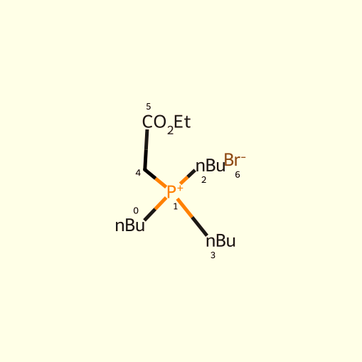 CCCC[P+](CCCC)(CCCC)CC(=O)OCC.[Br-]